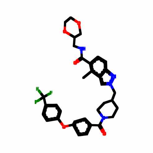 Cc1c(C(=O)NCC2COCCO2)ccc2nn(CC3CCN(C(=O)c4ccc(Oc5ccc(C(F)(F)F)cc5)cc4)CC3)cc12